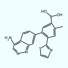 Cc1cc(-c2nccs2)c(-c2ccc3c(N)cnnc3c2)cc1B(O)O